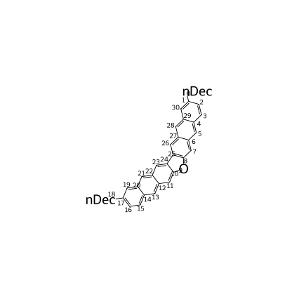 CCCCCCCCCCc1ccc2cc3cc4oc5cc6cc7ccc(CCCCCCCCCC)cc7cc6cc5c4cc3cc2c1